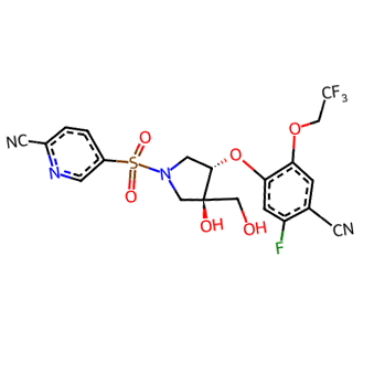 N#Cc1ccc(S(=O)(=O)N2C[C@H](Oc3cc(F)c(C#N)cc3OCC(F)(F)F)[C@](O)(CO)C2)cn1